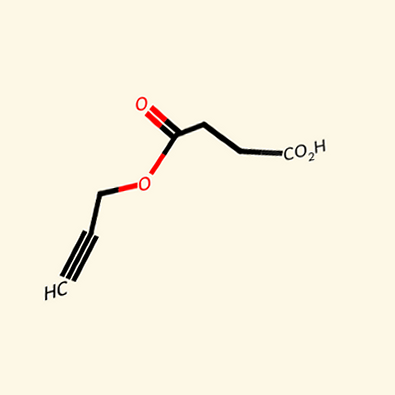 C#CCOC(=O)CCC(=O)O